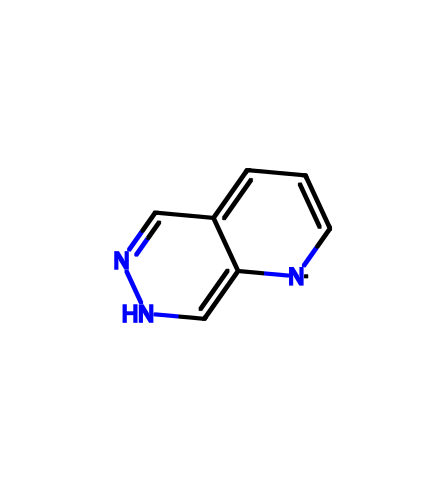 C1=C[N]C2=CNN=CC2=C1